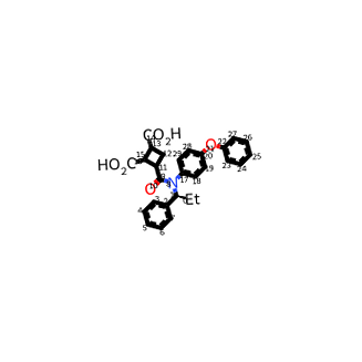 CC[C@@H](c1ccccc1)N(C(=O)C1CC(C(=O)O)C1C(=O)O)c1ccc(Oc2ccccc2)cc1